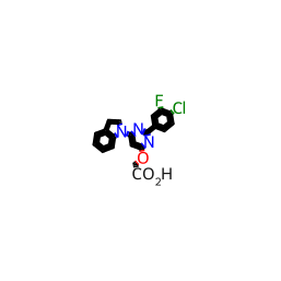 O=C(O)COc1cc(N2CCc3ccccc32)nc(-c2ccc(Cl)c(F)c2)n1